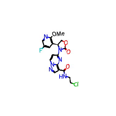 COc1ncc(F)cc1[C@H]1COC(=O)N1c1ccn2ncc(C(=O)NCCCl)c2n1